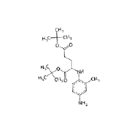 Cc1cc(N)ccc1NC(CCC(=O)OC(C)(C)C)C(=O)OC(C)(C)C